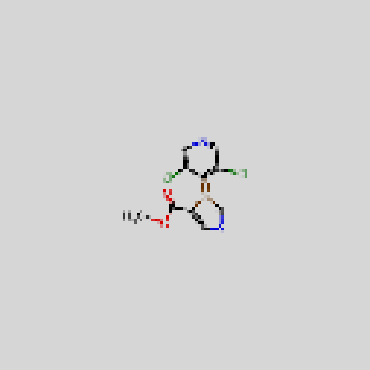 COC(=O)C1=CN=C[SH]1c1c(Cl)cncc1Cl